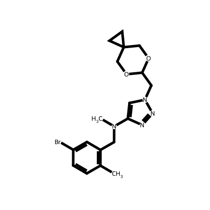 Cc1ccc(Br)cc1CN(C)c1cn(CC2OCC3(CC3)CO2)nn1